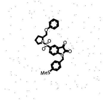 CSc1ccc(CN2C(=O)C(=O)c3cc(S(=O)(=O)N4CCCC4COc4ccccc4)ccc32)cc1